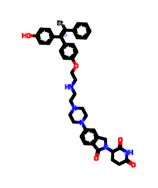 CC/C(=C(\c1ccc(O)cc1)c1ccc(OCCNCCN2CCN(c3ccc4c(c3)CN(C3CCC(=O)NC3=O)C4=O)CC2)cc1)c1ccccc1